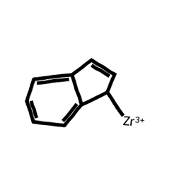 [Zr+3][CH]1C=Cc2ccccc21